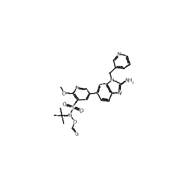 COc1ncc(-c2ccc3nc(N)n(Cc4cccnc4)c3c2)cc1S(=O)(=O)N(OC=O)C(C)(C)C